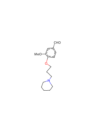 COc1cc(C=O)ccc1OCCCN1CCCCC1